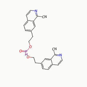 N#Cc1nccc2ccc(CCO[PH](=O)OCCc3ccc4ccnc(C#N)c4c3)cc12